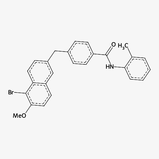 COc1ccc2cc(Cc3ccc(C(=O)Nc4ccccc4C)cc3)ccc2c1Br